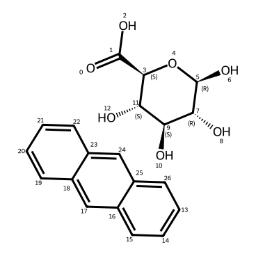 O=C(O)[C@H]1O[C@@H](O)[C@H](O)[C@@H](O)[C@@H]1O.c1ccc2cc3ccccc3cc2c1